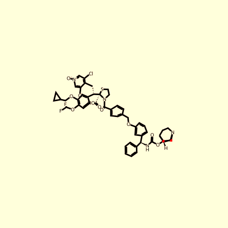 O=C(N[C@@H](c1ccccc1)c1cccc(OCc2ccc(C(=O)N3CCS[C@]3(C(=O)O)[C@@H](Cc3c(Cl)c[n+]([O-])cc3Cl)c3ccc(OC(F)F)c(OCC4CC4)c3)cc2)c1)O[C@H]1CN2CCC1CC2